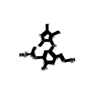 Cc1nn(C)c(Oc2cc(O[C@@H](C)C(=O)O)c(Cl)cc2C=NO)c1C